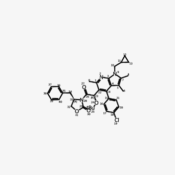 Cc1nc2c(c(C)c(C)n2CC2CC2)c(-c2ccc(Cl)cc2)c1[C@@H](OC(C)(C)C)C(=O)N1C(=O)OC[C@H]1Cc1ccccc1